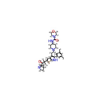 Cc1cc(C)cc(-c2[nH]c3sc(C(C)(C)C(=O)C4C5CCN4CC5)cc3c2CCN2CCC(NC(=O)N3CCOCC3)CC2)c1